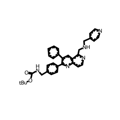 CC(C)(C)OC(=O)NCc1ccc(-c2nc3ccnc(CNCc4ccncc4)c3cc2-c2ccccc2)cc1